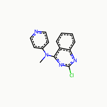 CN(c1ccncc1)c1nc(Cl)nc2ccccc12